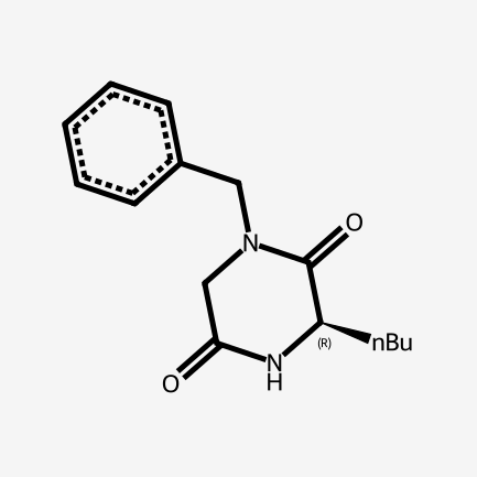 CCCC[C@H]1NC(=O)CN(Cc2ccccc2)C1=O